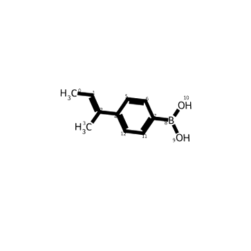 C/C=C(\C)c1ccc(B(O)O)cc1